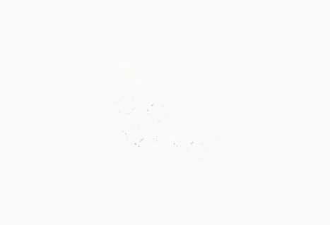 O=[SH](=O)Cc1ccc(-c2nc(C(F)(F)F)nc(N3CCN(c4cccc(C(F)(F)F)c4)CC3)c2-c2ccc(F)cc2)cc1